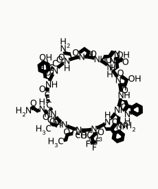 CCCC[C@H]1C(=O)N[C@@H](CC(C)C)C(=O)N[C@H](C(=O)NCC(N)=O)CSCC(=O)N[C@@H](Cc2ccc(O)cc2)C(=O)N(C)[C@@H](C)C(=O)N[C@@H](CC(N)=O)C(=O)N2CCC[C@H]2C(=O)N[C@@H](Cc2cnc[nH]2)C(=O)N[C@@H](CCC(=O)O)C(=O)N2C[C@H](O)C[C@H]2C(=O)N[C@@H](Cc2c[nH]c3ccccc23)C(=O)N[C@@H](CCN)C(=O)N[C@@H](Cc2c[nH]c3ccccc23)C(=O)N(CCC(F)(F)F)[C@@H](C)C(=O)N1C